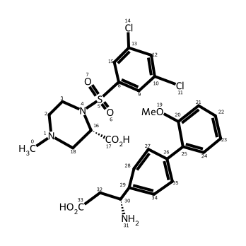 CN1CCN(S(=O)(=O)c2cc(Cl)cc(Cl)c2)[C@H](C(=O)O)C1.COc1ccccc1-c1ccc([C@H](N)CC(=O)O)cc1